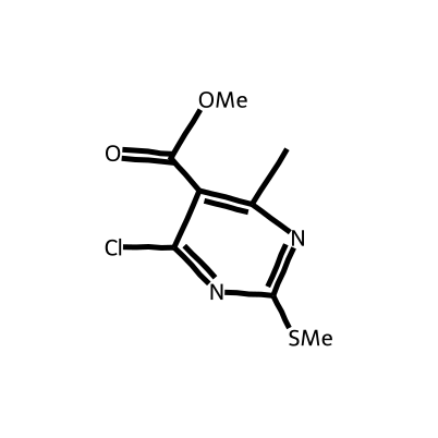 COC(=O)c1c(C)nc(SC)nc1Cl